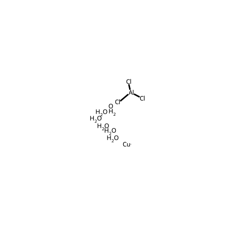 O.O.O.O.O.O.[Cl][Al]([Cl])[Cl].[Cu]